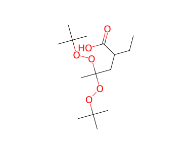 CCC(CC(C)(OOC(C)(C)C)OOC(C)(C)C)C(=O)O